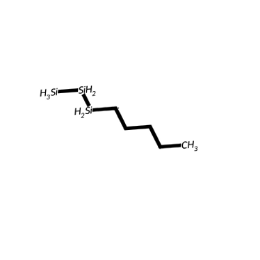 CCCC[CH][SiH2][SiH2][SiH3]